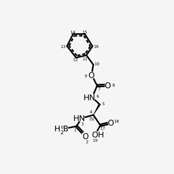 BC(=O)N[C@@H](CNC(=O)OCc1ccccc1)C(=O)O